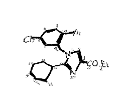 CCOC(=O)c1cn(-c2cc(Cl)ccc2I)c(C2CCCCC2)n1